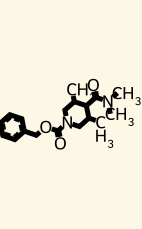 CC1CN(C(=O)OCc2ccccc2)CC(C)C1C(=O)N(C)C